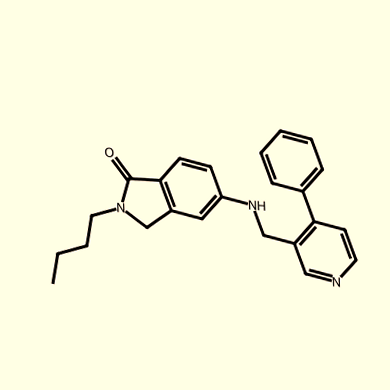 CCCCN1Cc2cc(NCc3cnccc3-c3ccccc3)ccc2C1=O